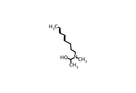 CC=CC=CCCCN(C)C(C)O